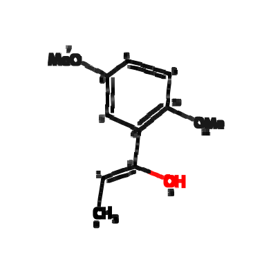 CC=C(O)c1cc(OC)ccc1OC